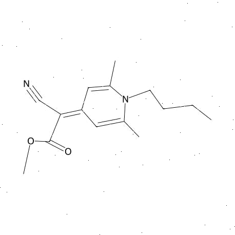 CCCCN1C(C)=CC(=C(C#N)C(=O)OC)C=C1C